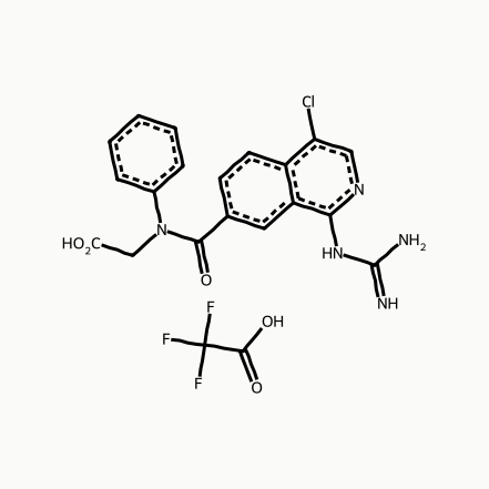 N=C(N)Nc1ncc(Cl)c2ccc(C(=O)N(CC(=O)O)c3ccccc3)cc12.O=C(O)C(F)(F)F